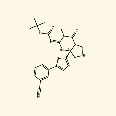 CN1C(=O)C2CNC[C@]2(c2ccc(-c3cccc(C#N)c3)s2)N/C1=N/C(=O)OC(C)(C)C